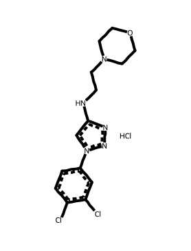 Cl.Clc1ccc(-n2cc(NCCN3CCOCC3)nn2)cc1Cl